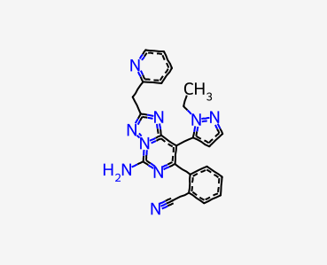 CCn1nccc1-c1c(-c2ccccc2C#N)nc(N)n2nc(Cc3ccccn3)nc12